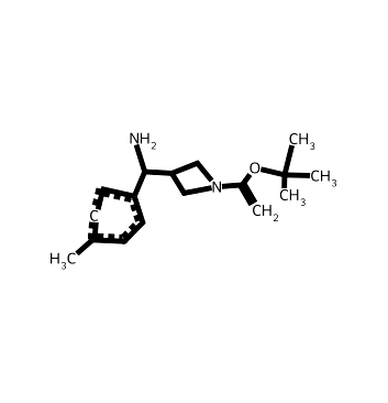 C=C(OC(C)(C)C)N1CC(C(N)c2ccc(C)cc2)C1